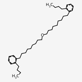 CCCCc1ccccc1CCCCCCCCCOCCCCCCCCCc1ccccc1CCCC